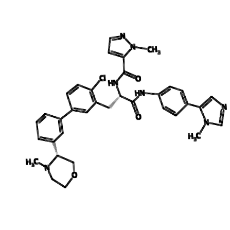 CN1CCOC[C@H]1c1cccc(-c2ccc(Cl)c(C[C@H](NC(=O)c3ccnn3C)C(=O)Nc3ccc(-c4cncn4C)cc3)c2)c1